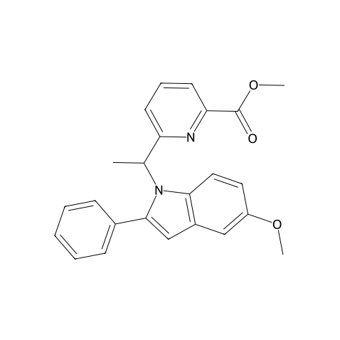 COC(=O)c1cccc(C(C)n2c(-c3ccccc3)cc3cc(OC)ccc32)n1